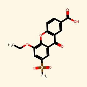 CCOc1cc(S(C)(=O)=O)cc2c(=O)c3cc(C(=O)O)ccc3oc12